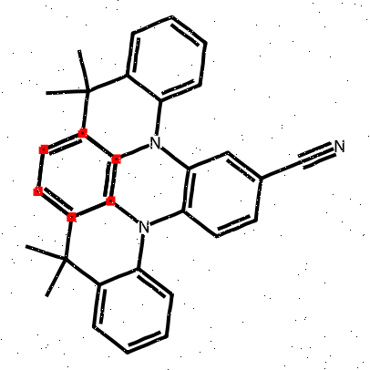 CC1(C)c2ccccc2N(c2ccc(C#N)cc2N2c3ccccc3C(C)(C)c3ccccc32)c2ccccc21